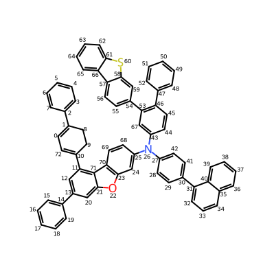 C1=C(c2ccccc2)CCC(c2cc(-c3ccccc3)cc3oc4cc(N(c5ccc(-c6cccc7ccccc67)cc5)c5ccc(-c6ccccc6)c(-c6ccc7c(c6)sc6ccccc67)c5)ccc4c23)=C1